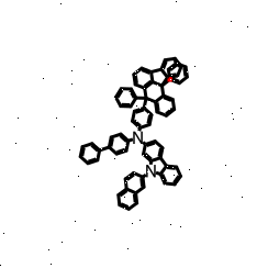 c1ccc(-c2ccc(N(c3ccc(C4(c5ccccc5)c5ccccc5C5(c6ccccc6)c6ccccc6-c6cccc4c65)cc3)c3ccc4c5ccccc5n(-c5ccc6ccccc6c5)c4c3)cc2)cc1